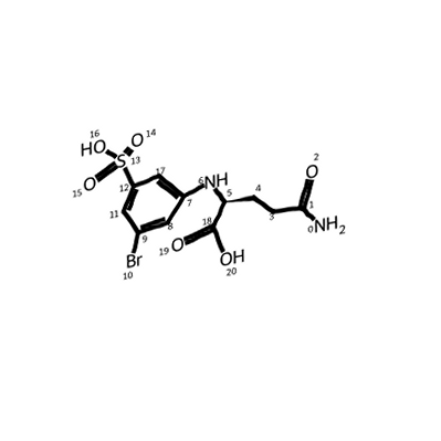 NC(=O)CC[C@H](Nc1cc(Br)cc(S(=O)(=O)O)c1)C(=O)O